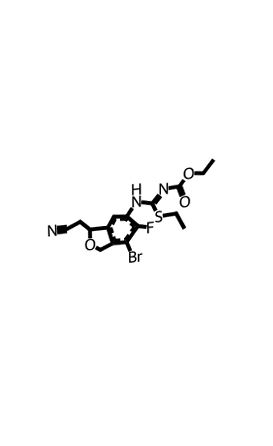 CCOC(=O)/N=C(/Nc1cc2c(c(Br)c1F)COC2CC#N)SCC